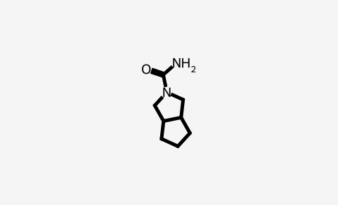 NC(=O)N1CC2CCCC2C1